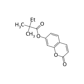 CCC(C)(C)C(=O)Oc1ccc2ccc(=O)oc2c1